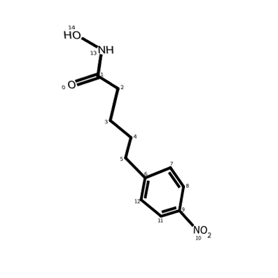 O=C(CCCCc1ccc([N+](=O)[O-])cc1)NO